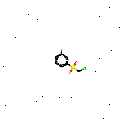 O=S(=O)(CCl)c1cccc(F)c1